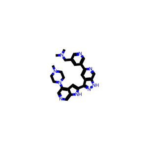 CN(C)Cc1cncc(-c2cc3c(-c4cc5c(N6CCN(C)CC6)cncc5[nH]4)n[nH]c3cn2)c1